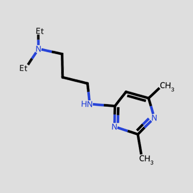 CCN(CC)CCCNc1cc(C)nc(C)n1